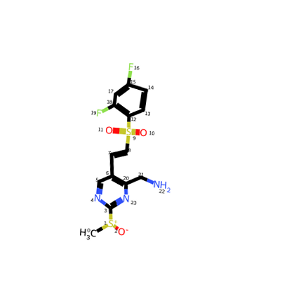 C[S+]([O-])c1ncc(C=CS(=O)(=O)c2ccc(F)cc2F)c(CN)n1